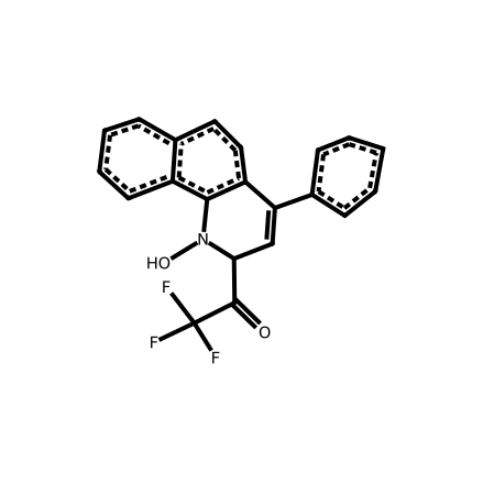 O=C(C1C=C(c2ccccc2)c2ccc3ccccc3c2N1O)C(F)(F)F